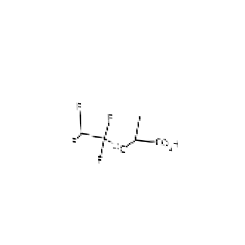 CC([13CH2]C(F)(F)C(F)F)C(=O)O